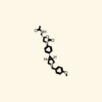 COc1ccc(CN2C[C@@H]3[C@H](C2)[C@H]3c2ccc(N3C[C@H](CNC(C)=O)OC3=O)cc2)cc1